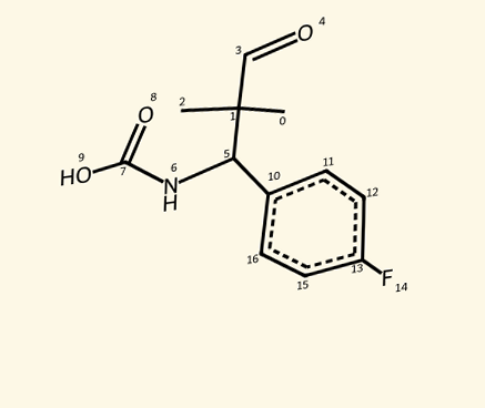 CC(C)(C=O)C(NC(=O)O)c1ccc(F)cc1